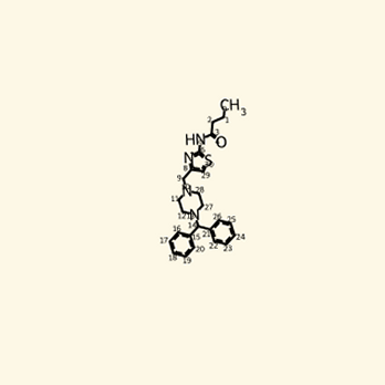 CCCC(=O)Nc1nc(CN2CCN(C(c3ccccc3)c3ccccc3)CC2)cs1